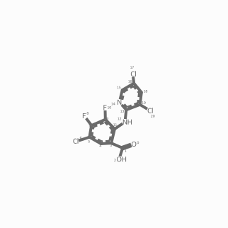 O=C(O)c1cc(Cl)c(F)c(F)c1Nc1ncc(Cl)cc1Cl